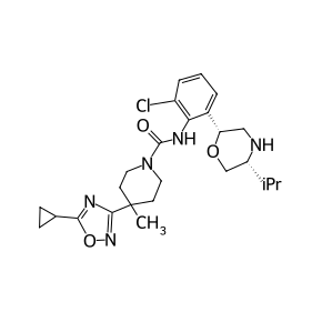 CC(C)[C@@H]1CO[C@H](c2cccc(Cl)c2NC(=O)N2CCC(C)(c3noc(C4CC4)n3)CC2)CN1